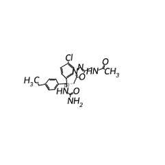 CCc1ccc([C@](Cc2nnc(CNC(C)=O)o2)(NC(N)=O)c2ccc(Cl)cc2)cc1